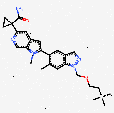 Cc1cc2c(cnn2COCC[Si](C)(C)C)cc1-c1cc2cc(C3(C(N)=O)CC3)ncc2n1C